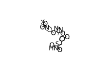 COc1cc(/C=C2\SC(=O)NC2=O)ccc1Oc1ncnc(OC2CCN(C(=O)OC(C)(C)C)CC2)c1C